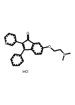 CN(C)CCOc1ccc2c(c1)C(=O)C(c1cccnc1)=C2c1ccccc1.Cl